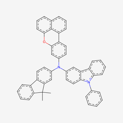 CC1(C)c2ccccc2-c2ccc(N(c3ccc4c(c3)Oc3cccc5cccc-4c35)c3ccc4c(c3)c3ccccc3n4-c3ccccc3)cc21